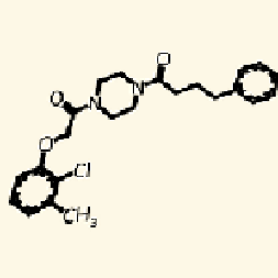 Cc1cccc(OCC(=O)N2CCN(C(=O)CCCc3ccccc3)CC2)c1Cl